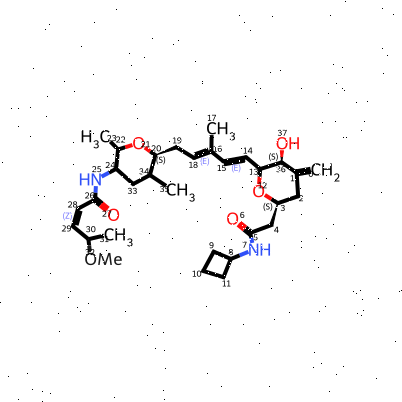 C=C1C[C@@H](CC(=O)NC2CCC2)OC(/C=C/C(C)=C/C[C@@H]2OC(C)C(NC(=O)/C=C\C(C)OC)CC2C)[C@H]1O